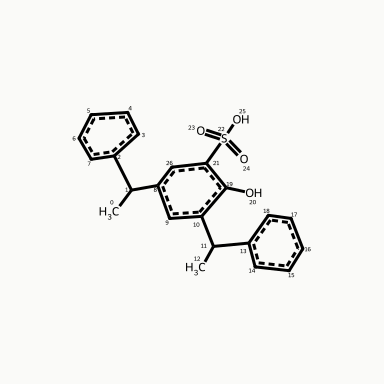 CC(c1ccccc1)c1cc(C(C)c2ccccc2)c(O)c(S(=O)(=O)O)c1